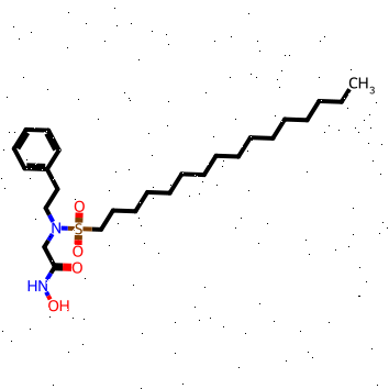 CCCCCCCCCCCCCCCCS(=O)(=O)N(CCc1ccccc1)CC(=O)NO